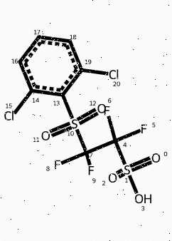 O=S(=O)(O)C(F)(F)C(F)(F)S(=O)(=O)c1c(Cl)cccc1Cl